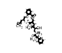 COCCCCOc1ccccc1C(=O)NCC(CC(N)C(O)CNC(=O)C(C)(C)c1ccccn1)C(C)C